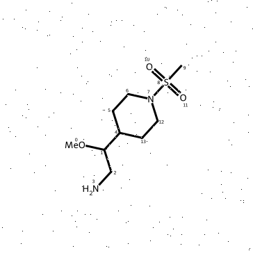 COC(CN)C1CCN(S(C)(=O)=O)CC1